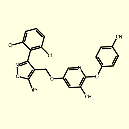 Cc1cc(OCc2c(-c3c(Cl)cccc3Cl)noc2C(C)C)cnc1Oc1ccc(C#N)cc1